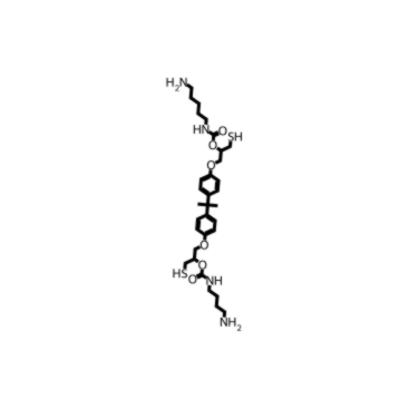 CC(C)(c1ccc(OCC(CS)OC(=O)NCCCCN)cc1)c1ccc(OCC(CS)OC(=O)NCCCCCN)cc1